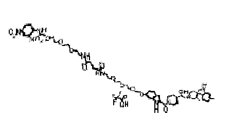 Cc1ccc2c(c1)NC[C@]21CCN(C[C@@H](O)C2CCN(C(=O)c3cc4ccc(OCCOCCOCCOCCNC(=O)CCC(=O)NCCOCCOCCOCCNc5ccc([N+](=O)[O-])cc5[N+](=O)[O-])cc4[nH]3)CC2)C[C@H]1C.O=C(O)C(F)(F)F